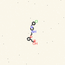 O=C(O)CCc1ccccc1OCCCNC1CCN(Cc2ccc(Cl)cc2)CC1